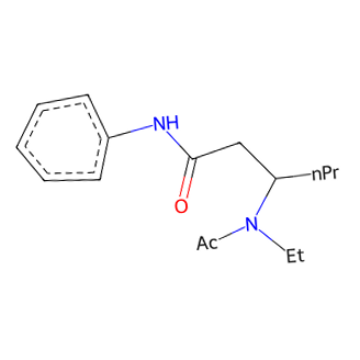 CCCC(CC(=O)Nc1ccccc1)N(CC)C(C)=O